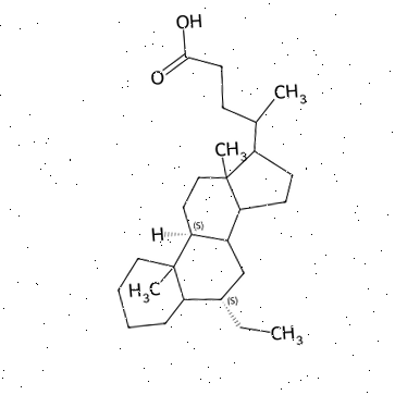 CC[C@H]1CC2C3CCC(C(C)CCC(=O)O)C3(C)CC[C@@H]2C2(C)CCCCC12